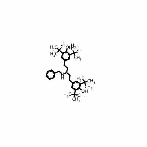 CC(C)(C)c1cc(CCC(CCc2cc(C(C)(C)C)c(O)c(C(C)(C)C)c2)NCc2ccccc2)cc(C(C)(C)C)c1O